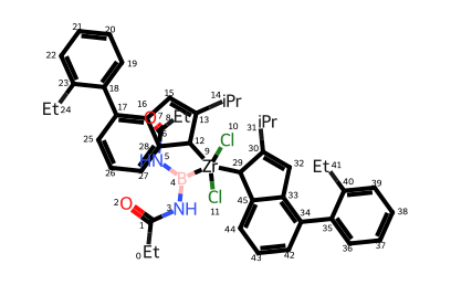 CCC(=O)N[B](NC(=O)CC)[Zr]([Cl])([Cl])([CH]1C(C(C)C)=Cc2c(-c3ccccc3CC)cccc21)[CH]1C(C(C)C)=Cc2c(-c3ccccc3CC)cccc21